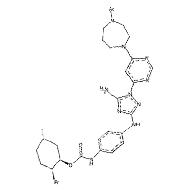 CC(=O)N1CCCN(c2cc(-n3nc(Nc4ccc(NC(=O)O[C@@H]5C[C@@H](C)CC[C@@H]5C(C)C)cc4)nc3N)ncn2)CC1